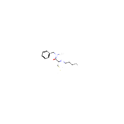 CCCCCN[C@@H](CSC)C(=O)N(C)Cc1ccccc1